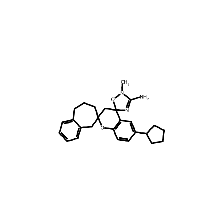 CN1OC2(CC3(CCCc4ccccc4C3)Oc3ccc(C4CCCC4)cc32)N=C1N